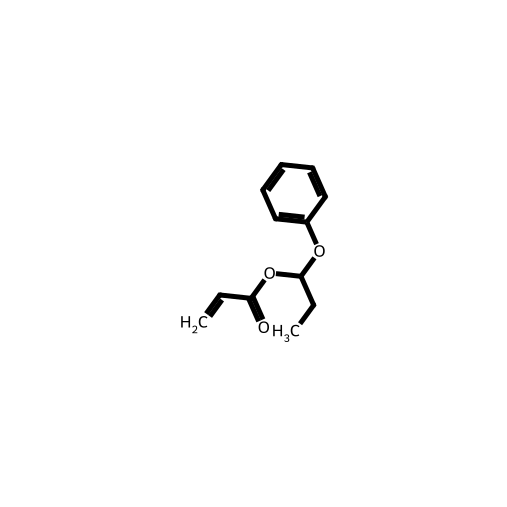 C=CC(=O)OC(CC)Oc1ccccc1